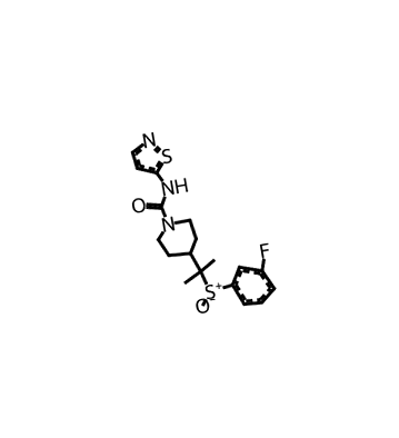 CC(C)(C1CCN(C(=O)Nc2ccns2)CC1)[S+]([O-])c1cccc(F)c1